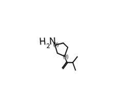 C=C(C(C)C)[C@@H]1CC[C@@H](N)C1